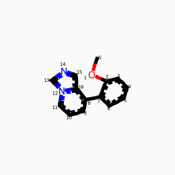 COc1ccccc1-c1cccn2cncc12